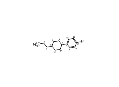 CCCC1CCC(c2ccc(I)cc2)CC1